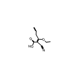 C=CCC(OCC)=C(C#N)C(=O)O